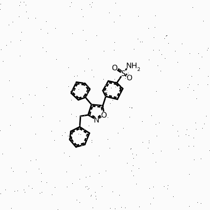 NS(=O)(=O)c1ccc(-c2onc(Cc3ccccc3)c2-c2ccccc2)cc1